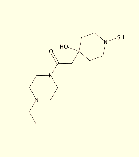 CC(C)N1CCN(C(=O)CC2(O)CCN(S)CC2)CC1